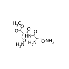 COC(=O)C(CON)C(=O)NC(=O)C(N)CON